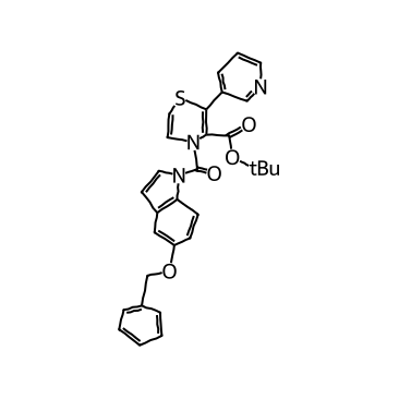 CC(C)(C)OC(=O)C1=C(c2cccnc2)SC=CN1C(=O)n1ccc2cc(OCc3ccccc3)ccc21